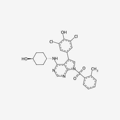 Cc1ccccc1S(=O)(=O)n1cc(-c2cc(Cl)c(O)c(Cl)c2)c2c(N[C@H]3CC[C@H](O)CC3)ncnc21